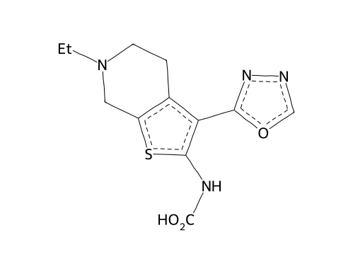 CCN1CCc2c(sc(NC(=O)O)c2-c2nnco2)C1